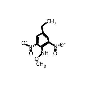 CCc1cc([N+](=O)[O-])c(NOC)c([N+](=O)[O-])c1